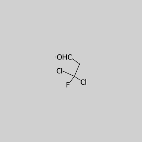 O=[C]CC(F)(Cl)Cl